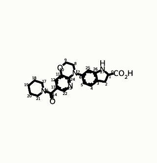 O=C(O)C1Cc2ccc(N3CCOc4cc(C(=O)N5CCCCC5)cnc43)cc2N1